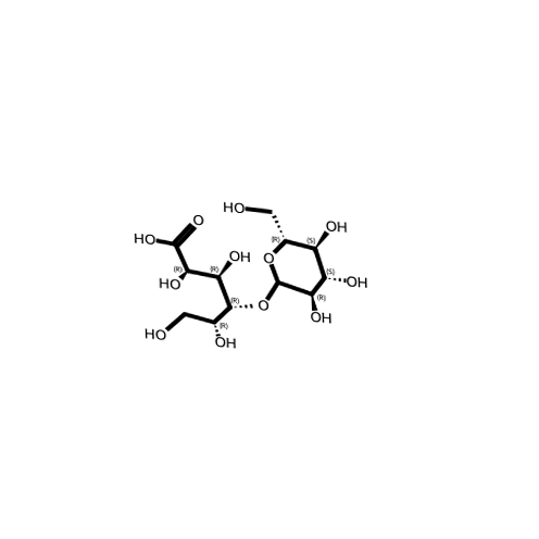 O=C(O)[C@H](O)[C@@H](O)[C@H](OC1O[C@H](CO)[C@@H](O)[C@H](O)[C@H]1O)[C@H](O)CO